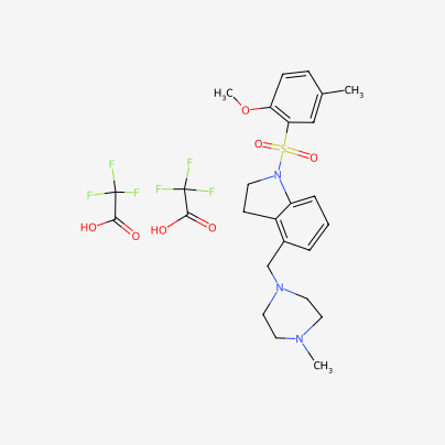 COc1ccc(C)cc1S(=O)(=O)N1CCc2c(CN3CCN(C)CC3)cccc21.O=C(O)C(F)(F)F.O=C(O)C(F)(F)F